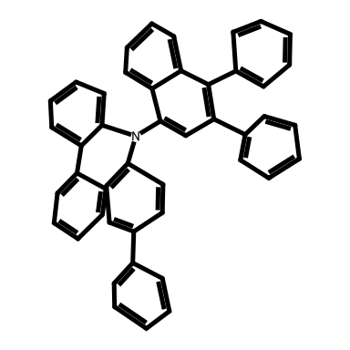 c1ccc(-c2ccc(N(c3ccccc3-c3ccccc3)c3cc(-c4ccccc4)c(-c4ccccc4)c4ccccc34)cc2)cc1